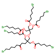 O=C(CCCCCBr)CCC(COCC(COC(=O)CCCCCBr)(COC(=O)CCCCCBr)COC(=O)CCCCCBr)(COC(=O)CCCCCBr)COC(=O)CCCCCBr